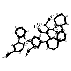 C=C(C#N)/C(=C(\C=C/C)C1=CC=CCC=C1c1ccc(N2c3ccccc3C3C=C(C#N)C=CC32)c(C#N)c1)n1c2c(c3ccccc31)C=CC=CC2